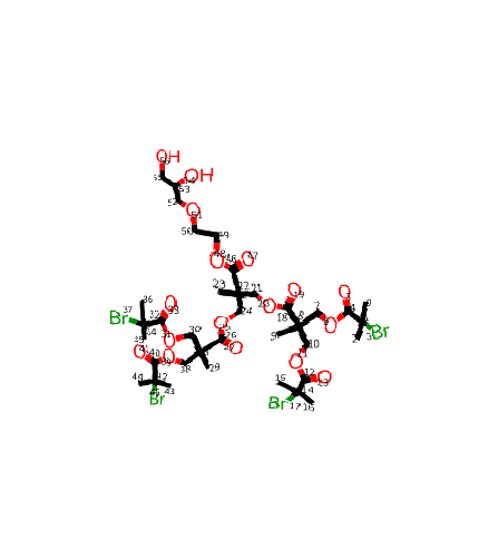 CC(C)(Br)C(=O)OCC(C)(COC(=O)C(C)(C)Br)C(=O)OCC(C)(COC(=O)C(C)(COC(=O)C(C)(C)Br)COC(=O)C(C)(C)Br)C(=O)OCCOCC(O)CO